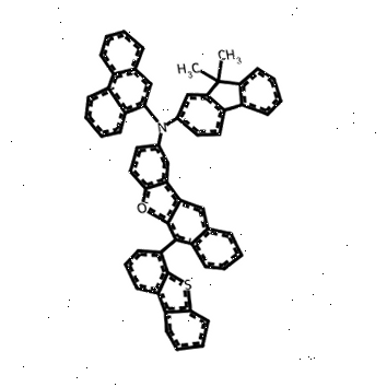 CC1(C)c2ccccc2-c2ccc(N(c3ccc4oc5c(-c6cccc7c6sc6ccccc67)c6ccccc6cc5c4c3)c3cc4ccccc4c4ccccc34)cc21